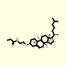 CCC(=O)NCCO[C@H]1CC[C@@]2(C)C(=CC[C@H]3[C@@H]4CC[C@H]([C@H](C)CCCC(C)C)[C@@]4(C)CC[C@@H]32)C1